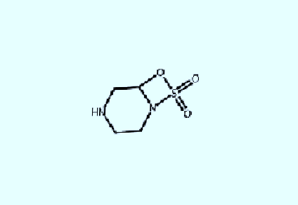 O=S1(=O)OC2CNCCN21